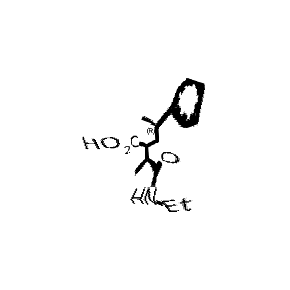 CCNC(=O)C(C)C(C[C@@H](C)c1ccccc1)C(=O)O